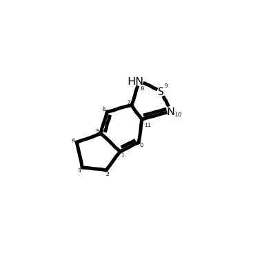 C1=C2CCCC2=CC2NSN=C12